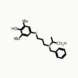 CC(C(=O)O)N(CCCSc1cc(C(C)(C)C)c(O)c(C(C)(C)C)c1)Cc1ccccc1